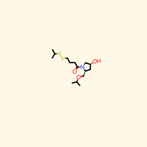 CC(C)OC[C@@H]1C[C@H](O)CN1C(=O)CCCSSC(C)C